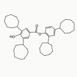 O=C(Oc1ccc(C2CCCCCCC2)cc1C1CCCCCCC1)c1cc(C2CCCCCCC2)c(O)c(C2CCCCCCC2)c1